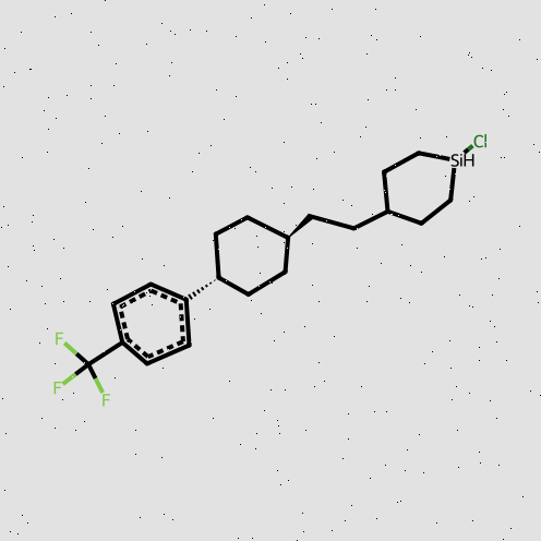 FC(F)(F)c1ccc([C@H]2CC[C@H](CCC3CC[SiH](Cl)CC3)CC2)cc1